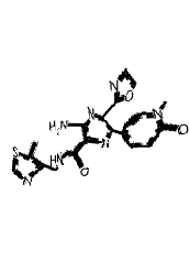 Cc1scnc1CNC(=O)c1nc(-c2ccc(=O)n(C)c2)c(-c2ncco2)nc1N